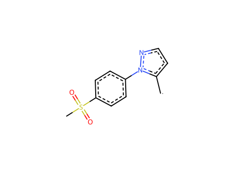 [CH2]c1ccnn1-c1ccc(S(C)(=O)=O)cc1